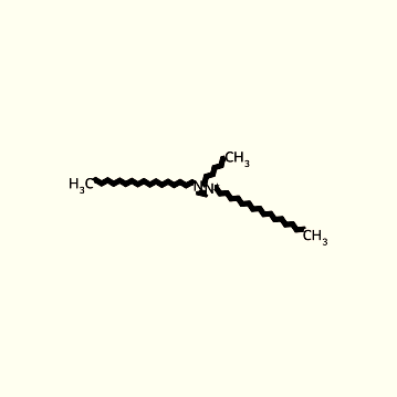 CCCCCCCCCCCCCCCCCCn1cc[n+](CCCCCCCCCCCCCCCCCC)c1CCCCCC